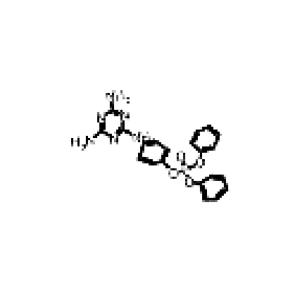 Nc1nc(N)nc(N)n1.O=P(Oc1ccccc1)(Oc1ccccc1)Oc1ccccc1